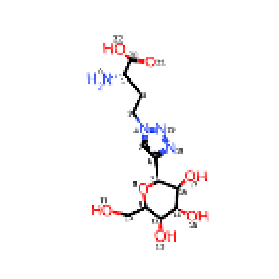 N[C@@H](CCn1cc([C@@H]2OC(CO)[C@H](O)[C@H](O)C2O)nn1)C(=O)O